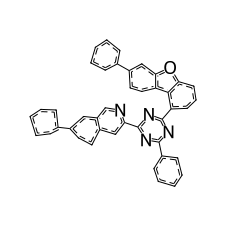 c1ccc(-c2ccc3cc(-c4nc(-c5ccccc5)nc(-c5cccc6oc7cc(-c8ccccc8)ccc7c56)n4)ncc3c2)cc1